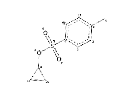 Cc1ccc(S(=O)(=O)OC2CC2)cc1